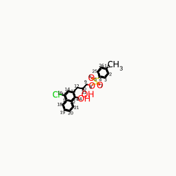 Cc1ccc(S(=O)(=O)OCC(O)Cc2cc(Cl)c3ccccc3c2O)cc1